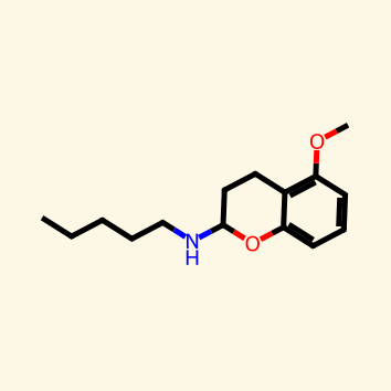 CCCCCNC1CCc2c(OC)cccc2O1